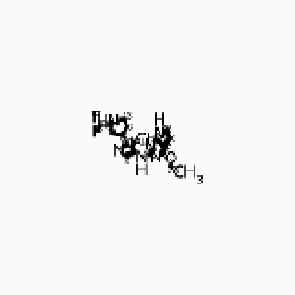 CCOc1nc(Nc2cnn([C@H]3CCN[C@@H](C(F)F)C3)c2C)nc2[nH]ccc12